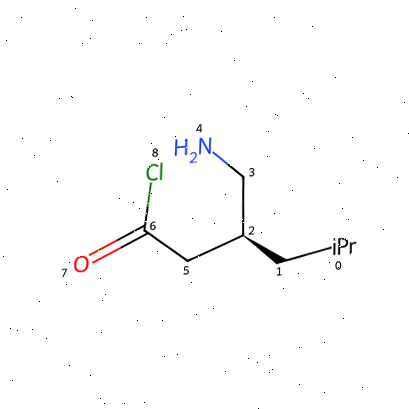 CC(C)C[C@H](CN)CC(=O)Cl